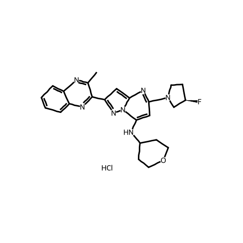 Cc1nc2ccccc2nc1-c1cc2nc(N3CC[C@@H](F)C3)cc(NC3CCOCC3)n2n1.Cl